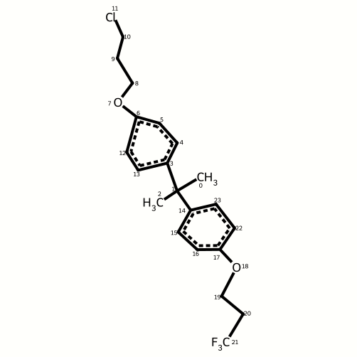 CC(C)(c1ccc(OCCCCl)cc1)c1ccc(OCCC(F)(F)F)cc1